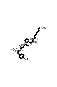 CCCCCCCCCCCCCCCC(=O)NC(C)C(=O)N1CCC[C@H]1C(=O)NCC(=O)NC(Cc1ccc(O)cc1)C(=O)O